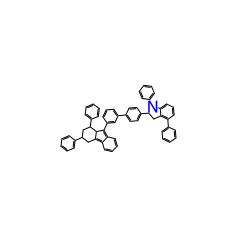 c1ccc(-c2cccc3c2CC(c2ccc(-c4cccc(C5=c6ccccc6=C6CC(c7ccccc7)CC(c7ccccc7)C65)c4)cc2)N3c2ccccc2)cc1